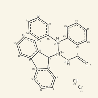 O=C[NH][Hf+2]([CH]1c2ccccc2-c2ccccc21)[SiH](c1ccccc1)c1ccccc1.[Cl-].[Cl-]